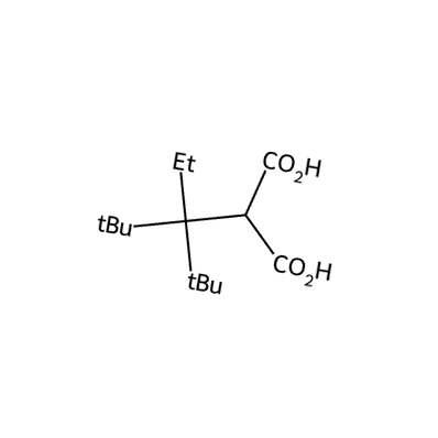 CCC(C(C(=O)O)C(=O)O)(C(C)(C)C)C(C)(C)C